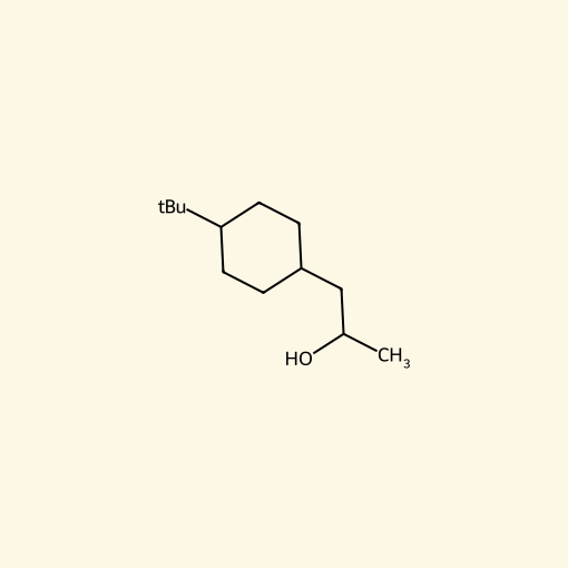 CC(O)CC1CCC(C(C)(C)C)CC1